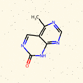 Cc1ncnc2[nH]c(=O)ncc12